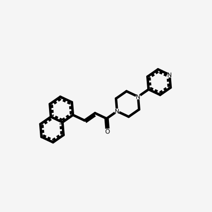 O=C(/C=C/c1cccc2ccccc12)N1CCN(c2ccncc2)CC1